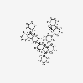 c1ccc(-n2c3ccccc3c3cc(-c4ccc5c(c4)c4c(-c6cccc(-c7cccc8c7oc7ccccc78)c6)cccc4n5-c4ccccc4)ccc32)cc1